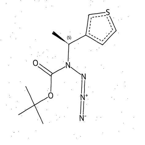 C[C@@H](c1ccsc1)N(N=[N+]=[N-])C(=O)OC(C)(C)C